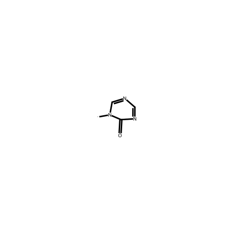 [CH2]n1cncnc1=O